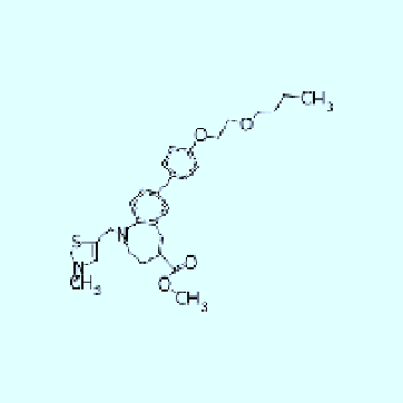 CCCCOCCOc1ccc(-c2ccc3c(c2)C=C(C(=O)OC)CCN3CC2=CN(C)CS2)cc1